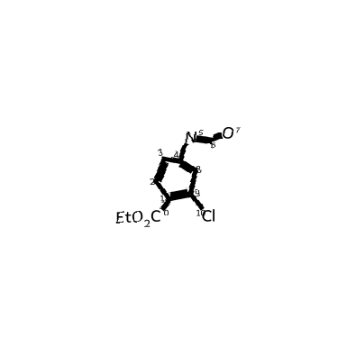 CCOC(=O)c1ccc(N=C=O)cc1Cl